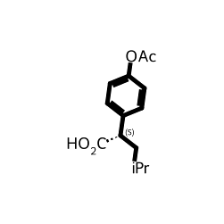 CC(=O)Oc1ccc([C@H](CC(C)C)C(=O)O)cc1